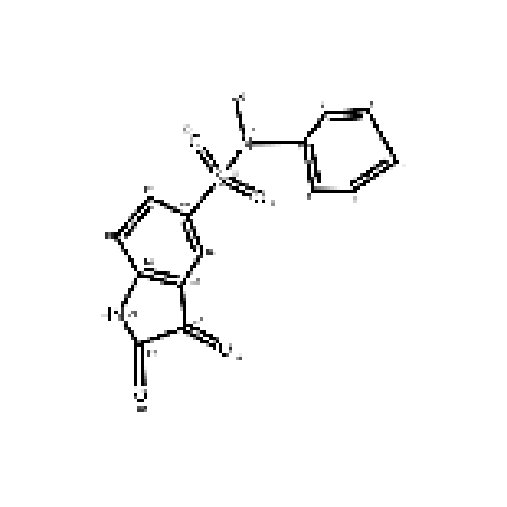 CN(c1ccccc1)S(=O)(=O)c1ccc2c(c1)C(=O)C(=O)N2